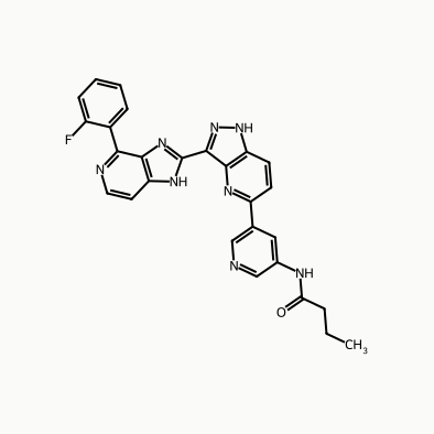 CCCC(=O)Nc1cncc(-c2ccc3[nH]nc(-c4nc5c(-c6ccccc6F)nccc5[nH]4)c3n2)c1